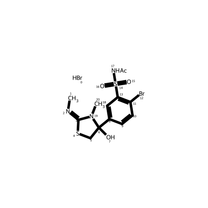 Br.CN=C1SCC(O)(c2ccc(Br)c(S(=O)(=O)NC(C)=O)c2)N1C